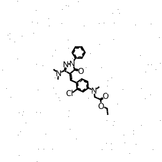 CCOC(=O)CN(C)c1ccc(C=C2C(=O)N(c3ccccc3)N=C2N(C)C)c(Cl)c1